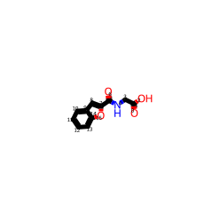 O=C(O)CNC(=O)c1cc2ccccc2o1